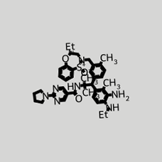 CCNc1ccc(C(c2ccc(C)c(CN3C[C@@H](CC)Oc4ccccc4[S+]3[O-])c2)C(C)(C)NC(=O)c2cnc(N3CCCC3)nc2)c(C)c1N